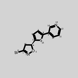 BrC1=NO[C@H](c2ccc(-c3cccnc3)s2)C1